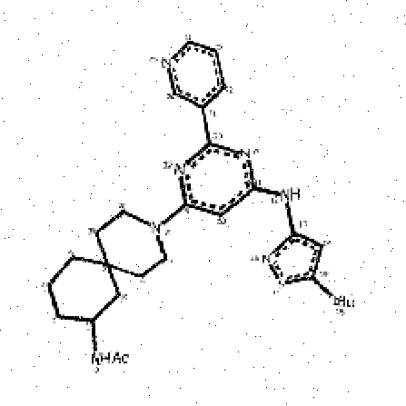 CC(=O)NC1CCCC2(CCN(c3cc(Nc4cc(C(C)(C)C)sn4)nc(-c4cccnc4)n3)CC2)C1